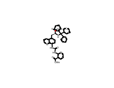 COC(=O)c1cccnc1NC(=O)Nc1ccc(C[C@H](NC(c2ccccc2)(c2ccccc2)c2ccccc2)C(=O)OC)c2cccnc12